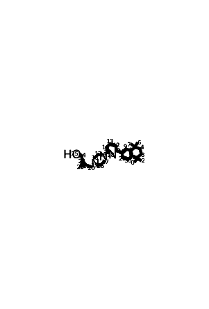 CC1(C)CCC(C)(C)c2cc(-c3cccc(N4CCN(CC5CC5CO)CC4)n3)ccc21